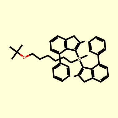 CC1=C([Si](C)(CCCCCCOC(C)(C)C)C2=C(C)[CH]c3cccc(-c4ccccc4)c32)c2c(cccc2-c2ccccc2)[CH]1